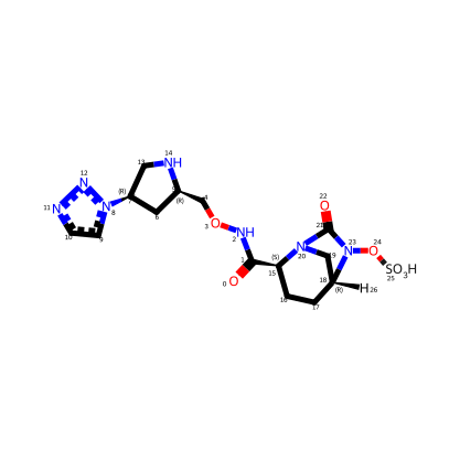 O=C(NOC[C@H]1C[C@@H](n2ccnn2)CN1)[C@@H]1CC[C@@H]2CN1C(=O)N2OS(=O)(=O)O